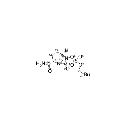 [CH2]C([CH2])(C)COS(=O)(=O)ON1C(=O)N2C[C@H]1CC[C@H]2C(N)=O